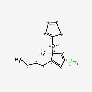 CCCCC1=CC=C[C@]1(C)[Zr+2][C]1=CC=CC1.[Cl-].[Cl-]